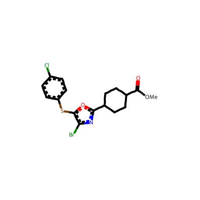 COC(=O)C1CCC(c2nc(Br)c(Sc3ccc(Cl)cc3)o2)CC1